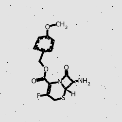 COc1ccc(COC(=O)C2=C(F)CS[C@H]3C(N)C(=O)N23)cc1